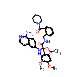 CCOc1cc(C(Nc2ccc3c(N)nccc3c2)(OC(=O)C(F)(F)F)C(=O)NCc2ccccc2C(=O)N2CCCCC2)ccc1OC(C)C